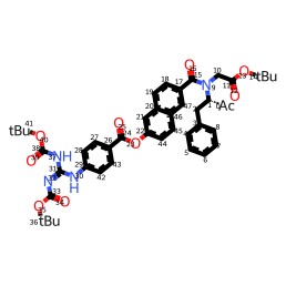 CC(=O)[C@H](Cc1ccccc1)N(CC(=O)OC(C)(C)C)C(=O)c1ccc2cc(OC(=O)c3ccc(N/C(=N\C(=O)OC(C)(C)C)NC(=O)OC(C)(C)C)cc3)ccc2c1